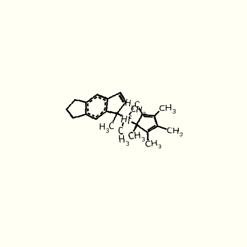 CC1=C(C)[C](C)([Hf]([CH3])([CH3])[C]2(C)C=Cc3cc4c(cc32)CCC4)C(C)=C1C